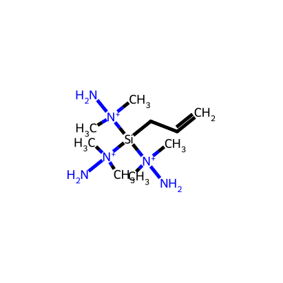 C=CC[Si]([N+](C)(C)N)([N+](C)(C)N)[N+](C)(C)N